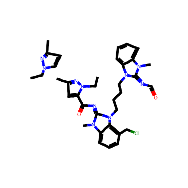 CCn1ccc(C)n1.CCn1nc(C)cc1C(=O)/N=c1\n(C)c2cccc(CCl)c2n1CCCCn1c(=NC=O)n(C)c2ccccc21